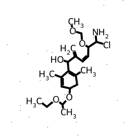 C=C(/C=C\C(OCOC)C(N)Cl)C(O)C1=C(C)CC(OC(C)OCC)C=C1C